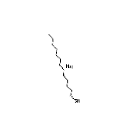 CCCCCCCCCCCCOS.[NaH]